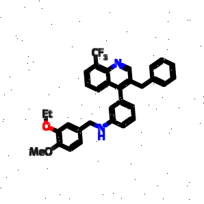 CCOc1cc(CNc2cccc(-c3c(Cc4ccccc4)cnc4c(C(F)(F)F)cccc34)c2)ccc1OC